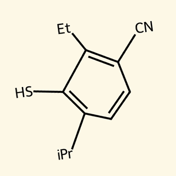 CCc1c(C#N)ccc(C(C)C)c1S